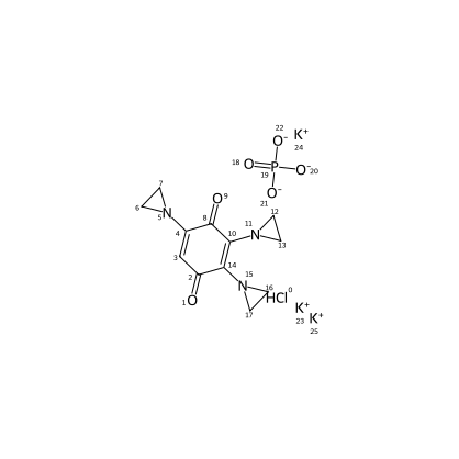 Cl.O=C1C=C(N2CC2)C(=O)C(N2CC2)=C1N1CC1.O=P([O-])([O-])[O-].[K+].[K+].[K+]